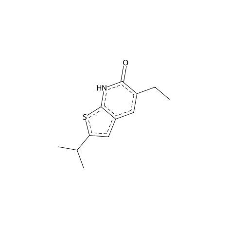 CCc1cc2cc(C(C)C)sc2[nH]c1=O